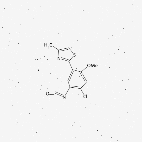 COc1cc(Cl)c(N=C=O)cc1-c1nc(C)cs1